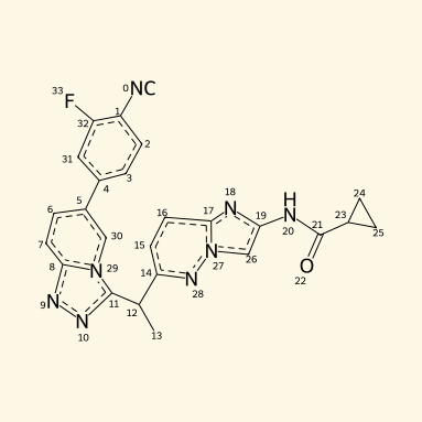 [C-]#[N+]c1ccc(-c2ccc3nnc(C(C)c4ccc5nc(NC(=O)C6CC6)cn5n4)n3c2)cc1F